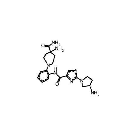 NC(=O)C1(N)CCN(c2ccccc2NC(=O)c2csc(N3CC[C@@H](N)C3)n2)CC1